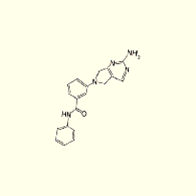 Nc1ncc2c(n1)CN(c1cccc(C(=O)Nc3ccccc3)c1)C2